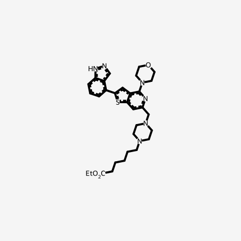 CCOC(=O)CCCCCN1CCN(Cc2cc3sc(-c4cccc5[nH]ncc45)cc3c(N3CCOCC3)n2)CC1